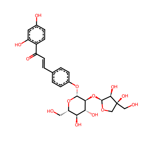 O=C(/C=C/c1ccc(O[C@H]2O[C@@H](CO)[C@H](O)[C@@H](O)[C@@H]2O[C@@H]2OC[C@@](O)(CO)[C@@H]2O)cc1)c1ccc(O)cc1O